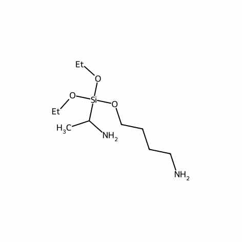 CCO[Si](OCC)(OCCCCN)C(C)N